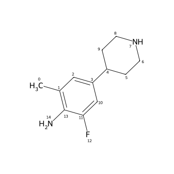 Cc1cc(C2CCNCC2)cc(F)c1N